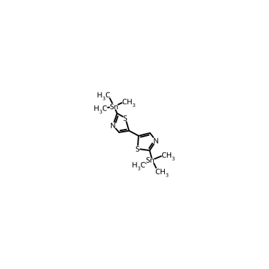 [CH3][Sn]([CH3])([CH3])[c]1ncc(-c2cn[c]([Sn]([CH3])([CH3])[CH3])s2)s1